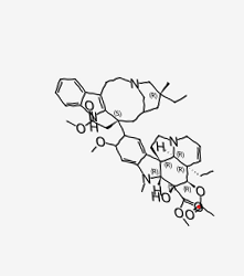 CC[C@]1(C)CC2CN(CCc3c([nH]c4ccccc34)[C@@](CC(=O)OC)(C3C=C4C(=CC3OC)N(C)[C@H]3[C@@](O)(C(=O)OC)[C@H](OC(C)=O)[C@]5(CC)C=CCN6CC[C@]43[C@@H]65)C2)C1